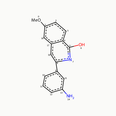 COc1ccc2c(O)nc(-c3cccc(N)c3)cc2c1